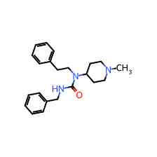 CN1CCC(N(CCc2ccccc2)C(=O)NCc2ccccc2)CC1